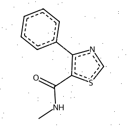 CNC(=O)c1s[c]nc1-c1ccccc1